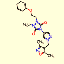 Cc1noc(C)c1Cn1cc(-n2c(=O)n(C)n(CCOC3=CCCC=C3)c2=O)cn1